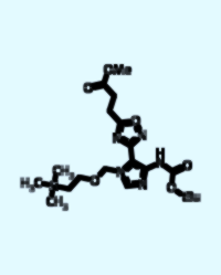 COC(=O)CCc1nc(-c2c(NC(=O)OC(C)(C)C)ncn2COCC[Si](C)(C)C)no1